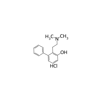 CN(C)CCc1c(O)cccc1-c1ccccc1.Cl